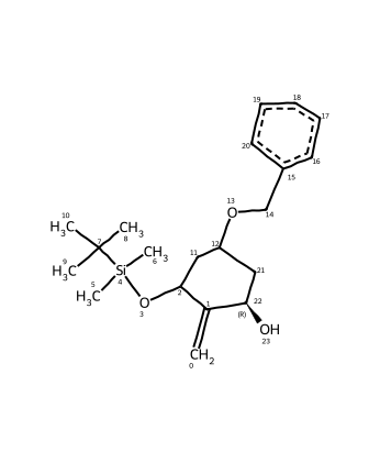 C=C1C(O[Si](C)(C)C(C)(C)C)CC(OCc2ccccc2)C[C@H]1O